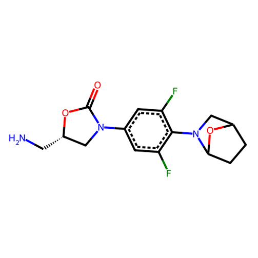 NC[C@H]1CN(c2cc(F)c(N3CC4CCC3O4)c(F)c2)C(=O)O1